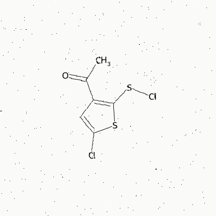 CC(=O)c1cc(Cl)sc1SCl